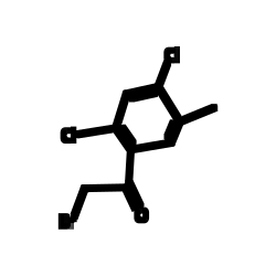 Cc1cc(C(=O)CBr)c(Cl)cc1Cl